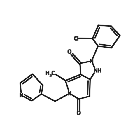 Cc1c2c(=O)n(-c3ccccc3Cl)[nH]c2cc(=O)n1Cc1cccnc1